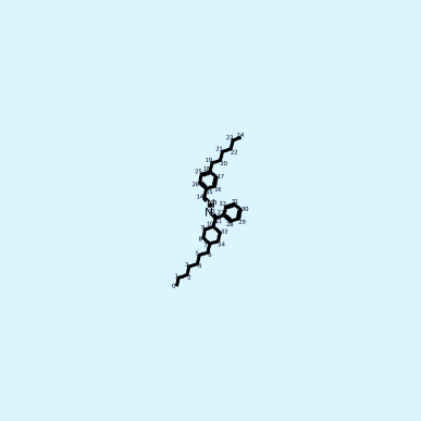 CCCCCCCC1CCC(C(=NN=Cc2ccc(CCCCCC)cc2)c2ccccc2)CC1